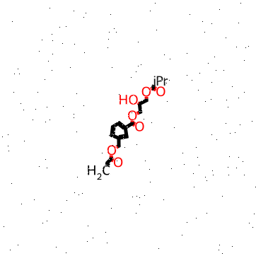 C=CC(=O)OCc1cccc(C(=O)OCC(O)COC(=O)C(C)C)c1